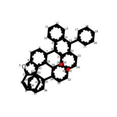 C1=Cc2oc3ccc(-c4c5ccccc5c(-c5ccccc5)c5ccccc45)c(-c4ccccc4-c4ccccc4)c3c2CC1